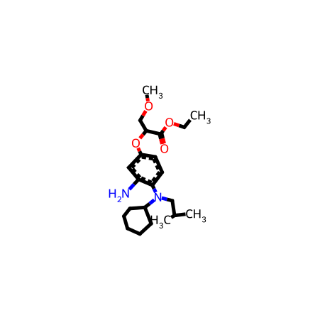 CCOC(=O)C(COC)Oc1ccc(N(CC(C)C)C2CCCCC2)c(N)c1